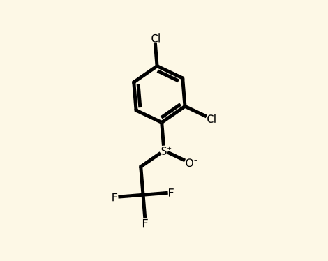 [O-][S+](CC(F)(F)F)c1ccc(Cl)cc1Cl